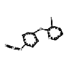 Cc1cccnc1Oc1ccc(N=C=S)cc1